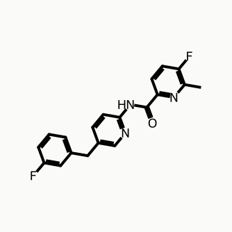 Cc1nc(C(=O)Nc2ccc(Cc3cccc(F)c3)cn2)ccc1F